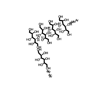 OC[C@@H](O)[C@@H](O)[C@H](O)[C@H](O)CO.OC[C@@H](O)[C@@H](O)[C@H](O)[C@H](O)CO.OC[C@@H](O)[C@@H](O)[C@H](O)[C@H](O)CO.OC[C@@H](O)[C@@H](O)[C@H](O)[C@H](O)CO.OC[C@@H](O)[C@@H](O)[C@H](O)[C@H](O)CO.[Ar].[Ar].[Ar].[Ar].[Ar].[Ar].[Ar].[Ar]